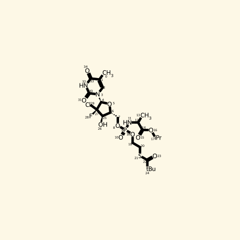 Cc1cn([C@@H]2O[C@H](COP(=O)(NC(C)C(=O)OC(C)C)OCCSC(=O)C(C)(C)C)[C@@H](O)[C@]2(F)Cl)c(=O)[nH]c1=O